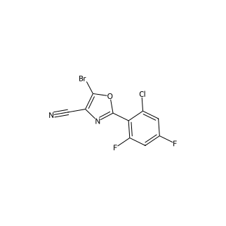 N#Cc1nc(-c2c(F)cc(F)cc2Cl)oc1Br